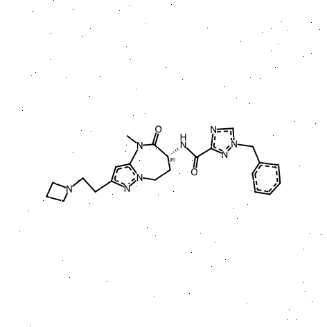 CN1C(=O)[C@H](NC(=O)c2ncn(Cc3ccccc3)n2)CCn2nc(CCN3CCC3)cc21